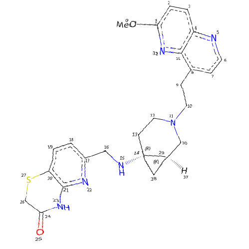 COc1ccc2nccc(CCN3CC[C@]4(NCc5ccc6c(n5)NC(=O)CS6)C[C@@H]4C3)c2n1